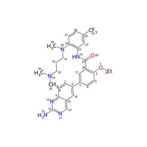 CCOc1ccc(-c2ccc3nc(N)ncc3c2)cc1C(=O)Nc1cc(C(F)(F)F)ccc1N(C)CCCN(C)C